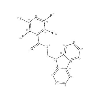 O=C(OCC1c2ccccc2-c2ccccc21)c1c(F)c(F)cc(F)c1F